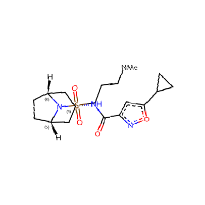 CNCCCS(=O)(=O)N1[C@@H]2CC[C@H]1C[C@@H](NC(=O)c1cc(C3CC3)on1)C2